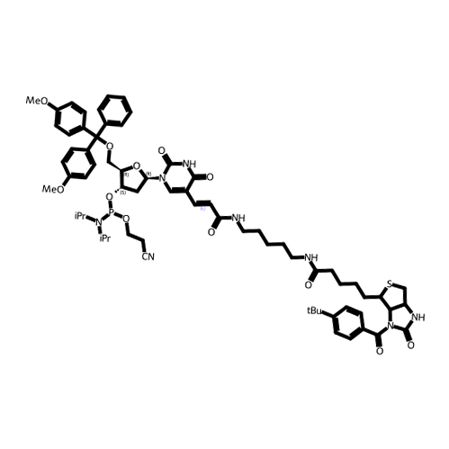 COc1ccc(C(OC[C@H]2O[C@@H](n3cc(/C=C/C(=O)NCCCCCNC(=O)CCCCC4SCC5NC(=O)N(C(=O)c6ccc(C(C)(C)C)cc6)C54)c(=O)[nH]c3=O)C[C@@H]2OP(OCCC#N)N(C(C)C)C(C)C)(c2ccccc2)c2ccc(OC)cc2)cc1